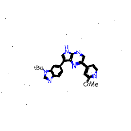 COc1cc(-c2cnc3[nH]cc(-c4ccc5ncn(C(C)(C)C)c5c4)c3n2)ccn1